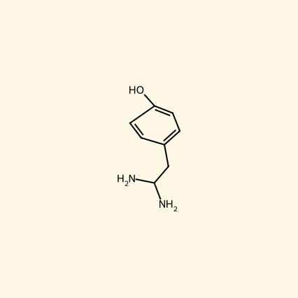 NC(N)Cc1ccc(O)cc1